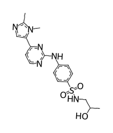 Cc1ncc(-c2ccnc(Nc3ccc(S(=O)(=O)NCC(C)O)cc3)n2)n1C